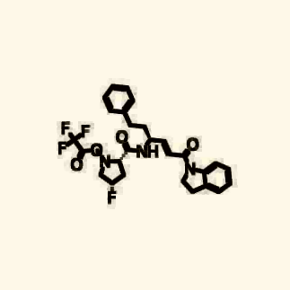 O=C(N[C@H](/C=C/C(=O)N1CCc2ccccc21)CCc1ccccc1)[C@@H]1C[C@H](F)CN1OC(=O)C(F)(F)F